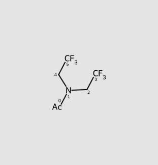 CC(=O)N(CC(F)(F)F)CC(F)(F)F